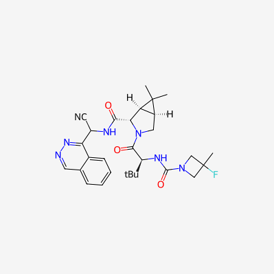 CC1(F)CN(C(=O)N[C@H](C(=O)N2C[C@H]3[C@@H]([C@H]2C(=O)NC(C#N)c2nncc4ccccc24)C3(C)C)C(C)(C)C)C1